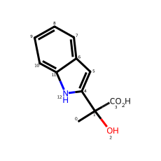 CC(O)(C(=O)O)c1cc2ccccc2[nH]1